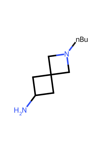 CCCCN1CC2(CC(N)C2)C1